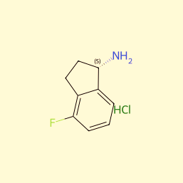 Cl.N[C@H]1CCc2c(F)cccc21